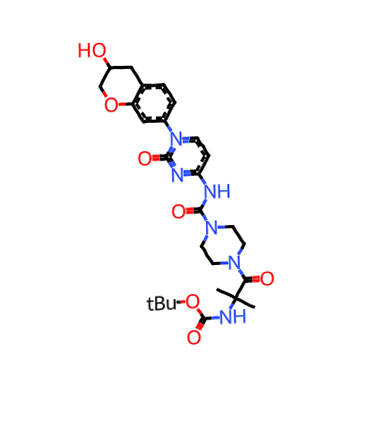 CC(C)(C)OC(=O)NC(C)(C)C(=O)N1CCN(C(=O)Nc2ccn(-c3ccc4c(c3)OCC(O)C4)c(=O)n2)CC1